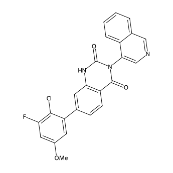 COc1cc(F)c(Cl)c(-c2ccc3c(=O)n(-c4cncc5ccccc45)c(=O)[nH]c3c2)c1